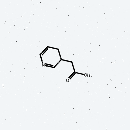 O=C(O)CC1C=NC=CC1